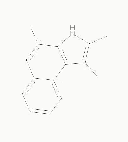 Cc1[nH]c2c(C)cc3ccccc3c2c1C